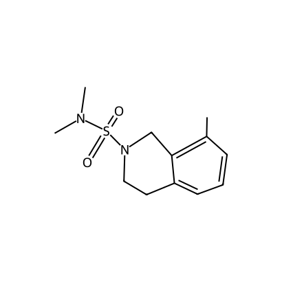 Cc1cccc2c1CN(S(=O)(=O)N(C)C)CC2